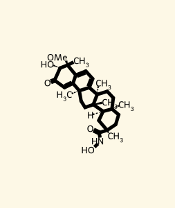 CO[C@@]1(C)C2=CC=C3[C@@](C)(CC[C@@]4(C)[C@@H]5C[C@](C)(C(=O)NO)CC[C@]5(C)CC[C@]34C)C2=CC(=O)[C@@H]1O